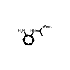 CCCCCC(C)Nc1ccccc1N